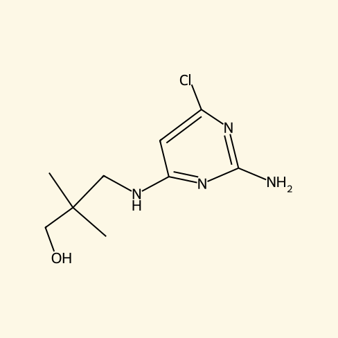 CC(C)(CO)CNc1cc(Cl)nc(N)n1